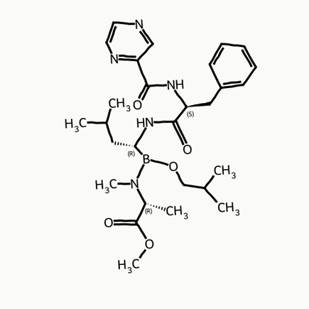 COC(=O)[C@@H](C)N(C)B(OCC(C)C)[C@H](CC(C)C)NC(=O)[C@H](Cc1ccccc1)NC(=O)c1cnccn1